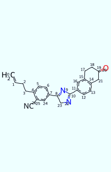 C=CCCc1ccc(C2=NC(c3ccc4c(c3)CCC(=O)C4)=NC2)cc1C#N